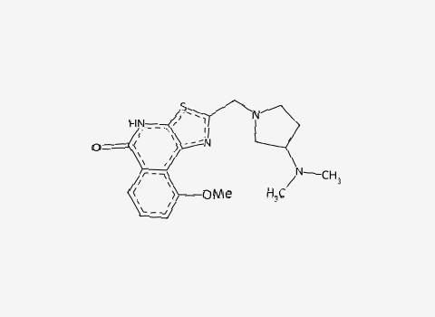 COc1cccc2c(=O)[nH]c3sc(CN4CCC(N(C)C)C4)nc3c12